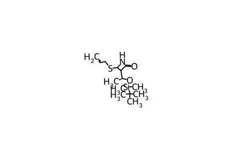 C=CCSC1NC(=O)C1[C@H](C)O[Si](C)(C)C(C)(C)C